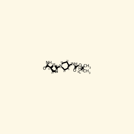 CC(C)(C)OC(=O)NC1CCN(c2ncc(C(N)=O)s2)CC1